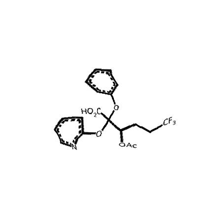 CC(=O)OC(CCC(F)(F)F)C(Oc1ccccc1)(Oc1ccccn1)C(=O)O